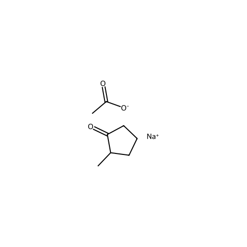 CC(=O)[O-].CC1CCCC1=O.[Na+]